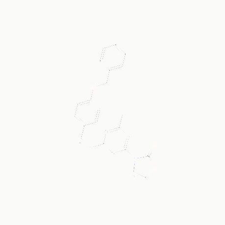 CC[C@H]1COC(=O)N1c1nc(C)nc(N[C@H](C)c2ccc(OCc3ccccc3)cc2)n1